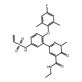 C=CS(=O)(=O)Nc1ccc(Oc2c(C)cc(F)cc2C)c(-c2cc(C(=O)NCC)c(=O)n(C)n2)c1